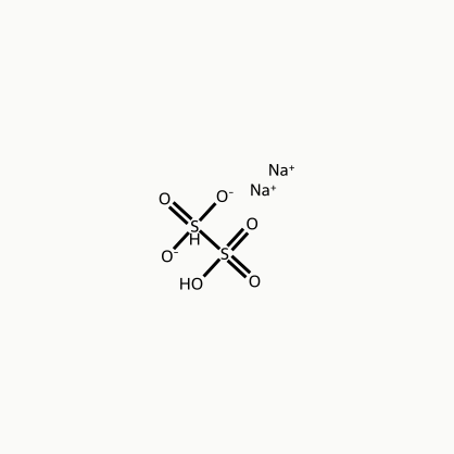 O=S(=O)(O)[SH](=O)([O-])[O-].[Na+].[Na+]